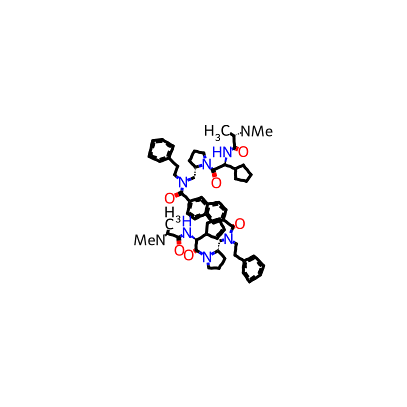 CN[C@@H](C)C(=O)N[C@H](C(=O)N1CCC[C@H]1CN(CCc1ccccc1)C(=O)c1ccc2cc(C(=O)N(CCc3ccccc3)C[C@@H]3CCCN3C(=O)[C@@H](NC(=O)[C@H](C)NC)C3CCCC3)ccc2c1)C1C=CCC1